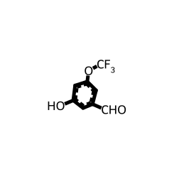 O=Cc1cc(O)cc(OC(F)(F)F)c1